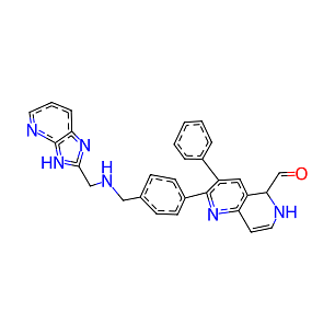 O=CC1NC=Cc2nc(-c3ccc(CNCc4nc5cccnc5[nH]4)cc3)c(-c3ccccc3)cc21